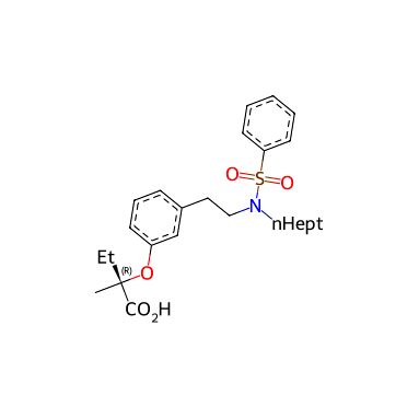 CCCCCCCN(CCc1cccc(O[C@](C)(CC)C(=O)O)c1)S(=O)(=O)c1ccccc1